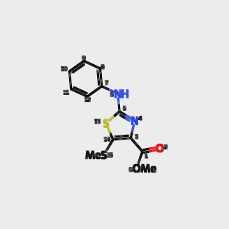 COC(=O)c1nc(Nc2ccccc2)sc1SC